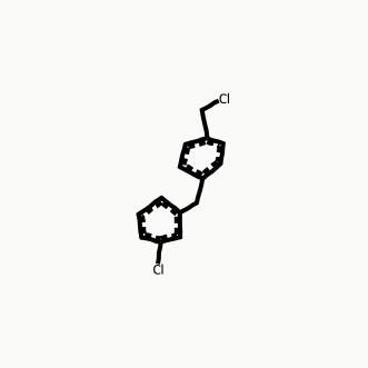 ClCc1ccc(Cc2cccc(Cl)c2)cc1